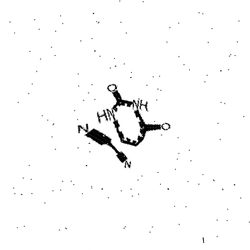 N#CC#N.O=c1cc[nH]c(=O)[nH]1